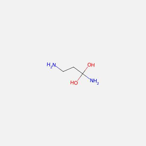 NCCC(N)(O)O